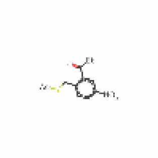 CCC(=O)c1cc([N+](=O)[O-])ccc1CSC(C)=O